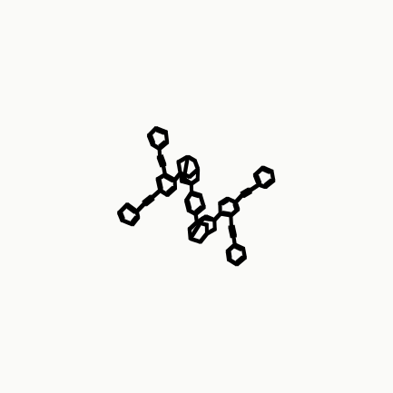 C(#Cc1ccc(C23CC4CC(CC(c5ccc(C67CC8CC(C6)CC(c6ccc(C#Cc9ccccc9)cc6C#Cc6ccccc6)(C8)C7)cc5)(C4)C2)C3)c(C#Cc2ccccc2)c1)c1ccccc1